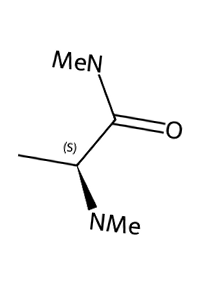 CNC(=O)[C@H](C)NC